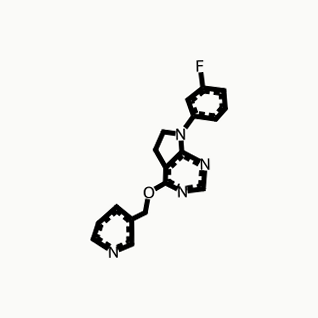 Fc1cccc(N2CCc3c(OCc4cccnc4)ncnc32)c1